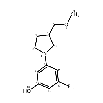 COCC1CCN(c2cc(O)cc(F)c2)C1